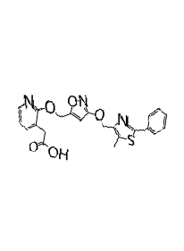 Cc1sc(-c2ccccc2)nc1COc1cc(COc2ncccc2CC(=O)O)on1